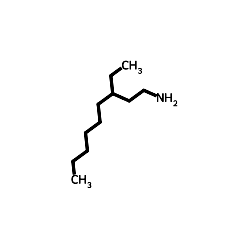 CCCCCCC(CC)CCN